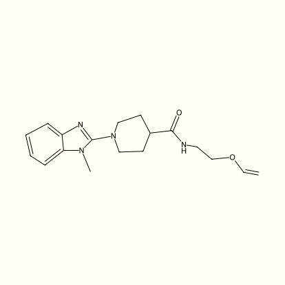 C=COCCNC(=O)C1CCN(c2nc3ccccc3n2C)CC1